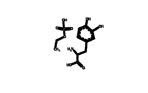 CCOS(=O)(=O)O.NC(Cc1ccc(O)c(O)c1)C(=O)O